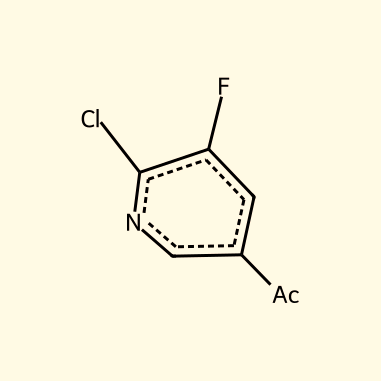 CC(=O)c1cnc(Cl)c(F)c1